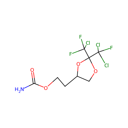 NC(=O)OCCC1COC(C(F)(F)Cl)(C(F)(Cl)Cl)O1